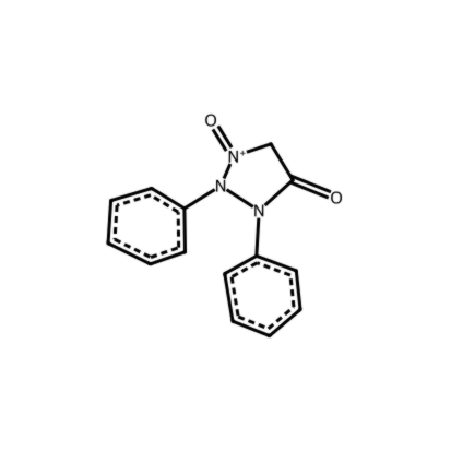 O=C1C[N+](=O)N(c2ccccc2)N1c1ccccc1